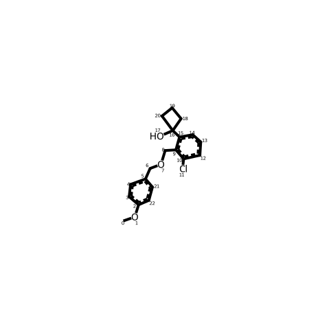 COc1ccc(COCc2c(Cl)cccc2C2(O)CCC2)cc1